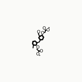 COC(=O)COc1ccc(Cc2cccc(C)c2OCC(=O)OC)cc1C=O